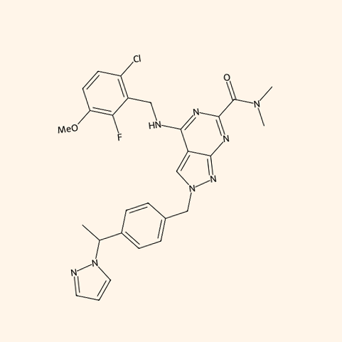 COc1ccc(Cl)c(CNc2nc(C(=O)N(C)C)nc3nn(Cc4ccc(C(C)n5cccn5)cc4)cc23)c1F